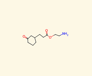 NCCOC(=O)CCC1CCCC(=O)C1